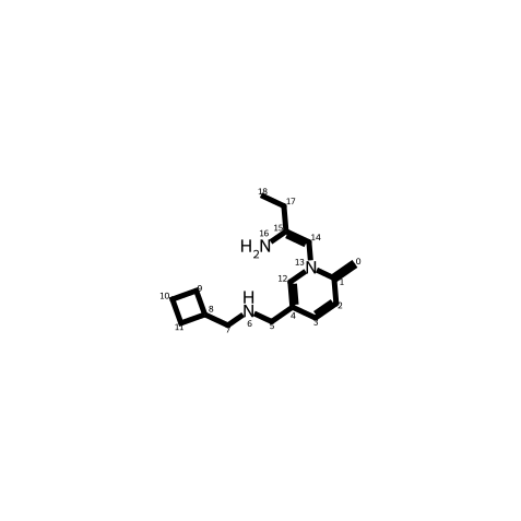 C=C1C=CC(CNCC2CCC2)=CN1/C=C(\N)CC